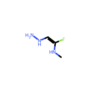 CN/C(F)=C\NN